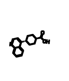 O=C(O)[C@H]1CC[C@H](c2ccnc3ccccc32)CC1